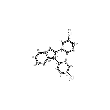 Clc1ccc(-n2c(-c3ccnc(Cl)c3)cc3ccncc32)cc1